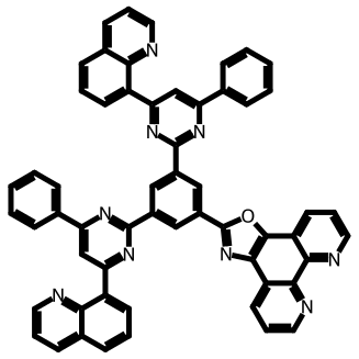 c1ccc(-c2cc(-c3cccc4cccnc34)nc(-c3cc(-c4nc(-c5ccccc5)cc(-c5cccc6cccnc56)n4)cc(-c4nc5c6cccnc6c6ncccc6c5o4)c3)n2)cc1